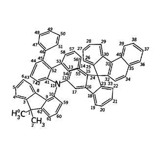 CC1(C)c2ccccc2-c2c(N(c3ccc4c(c3)-c3ccccc3C43c4ccccc4-c4c3ccc3ccccc43)c3cccc(-c4ccccc4)c3-c3ccccc3)cccc21